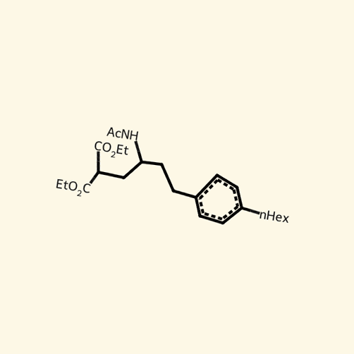 CCCCCCc1ccc(CCC(CC(C(=O)OCC)C(=O)OCC)NC(C)=O)cc1